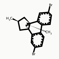 C[C@H]1C[C@]23C[C@H](C)C[C@@]2(C1)c1cc(Br)ccc1-c1ccc(Br)cc13